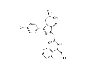 O=C(O)C[C@H](NC(=O)Cn1nc(-c2ccc(Cl)cc2)n(C[C@H](O)C(F)(F)F)c1=O)c1ccccc1F